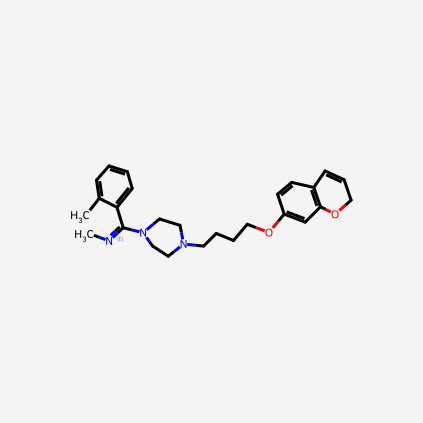 C/N=C(\c1ccccc1C)N1CCN(CCCCOc2ccc3c(c2)OCC=C3)CC1